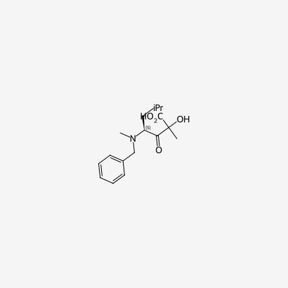 CC(C)C[C@@H](C(=O)C(C)(O)C(=O)O)N(C)Cc1ccccc1